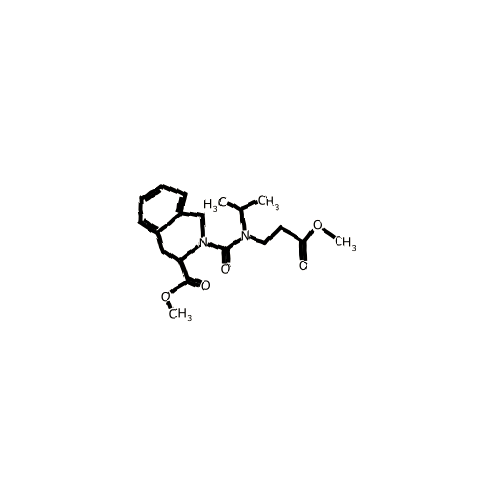 COC(=O)CCN(C(=O)N1Cc2ccccc2CC1C(=O)OC)C(C)C